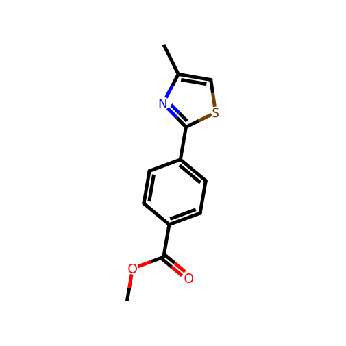 COC(=O)c1ccc(-c2nc(C)cs2)cc1